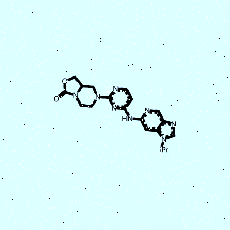 CC(C)n1cnc2cnc(Nc3ccnc(N4CCN5C(=O)OCC5C4)n3)cc21